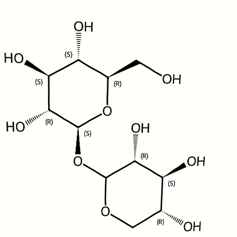 OC[C@H]1O[C@@H](OC2OC[C@@H](O)[C@H](O)[C@H]2O)[C@H](O)[C@@H](O)[C@@H]1O